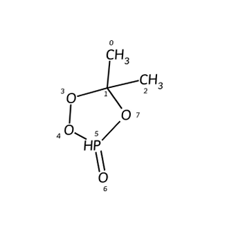 CC1(C)OO[PH](=O)O1